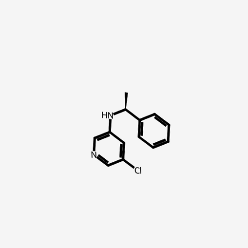 C[C@H](Nc1cncc(Cl)c1)c1ccccc1